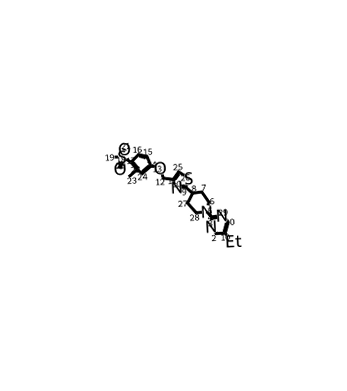 CCc1cnc(N2CCC(c3nc(COc4ccc(S(C)(=O)=O)c(C)c4)cs3)CC2)nc1